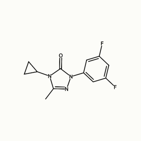 Cc1nn(-c2cc(F)cc(F)c2)c(=O)n1C1CC1